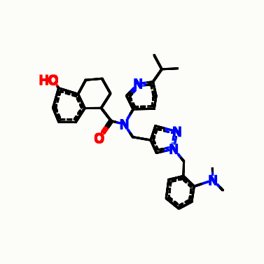 CC(C)c1ccc(N(Cc2cnn(Cc3ccccc3N(C)C)c2)C(=O)C2CCCc3c(O)cccc32)cn1